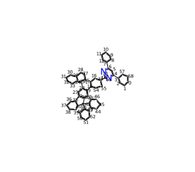 c1ccc(-c2cc(-c3ccccc3)nc(-c3ccc(-c4cc5c(cc4-c4cccc6ccccc46)-c4ccccc4C5(c4ccccc4)c4ccccc4)cc3)n2)cc1